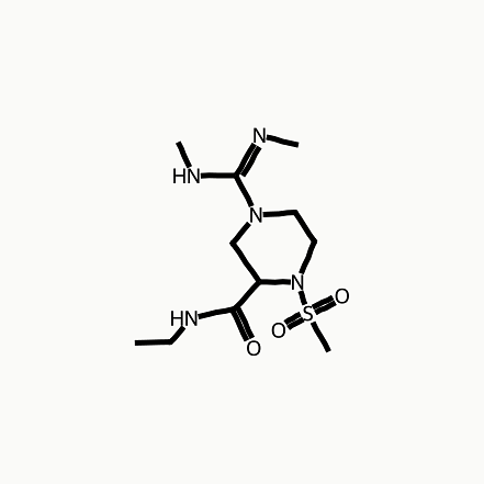 CCNC(=O)C1CN(/C(=N\C)NC)CCN1S(C)(=O)=O